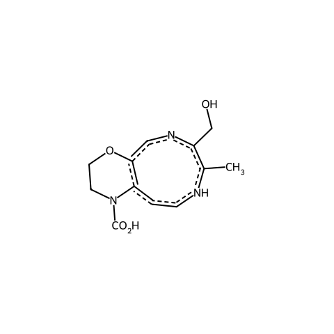 Cc1[nH]ccc2c(cnc1CO)OCCN2C(=O)O